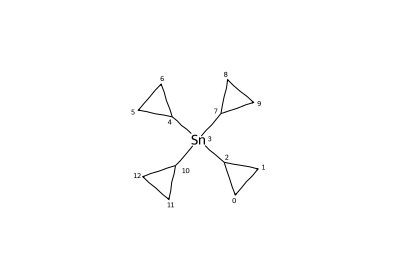 C1C[CH]1[Sn]([CH]1CC1)([CH]1CC1)[CH]1CC1